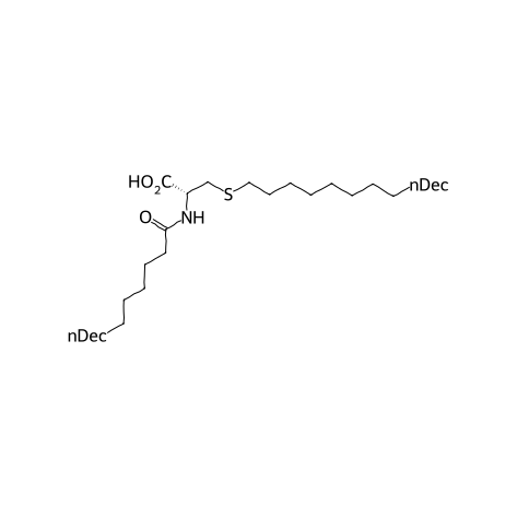 CCCCCCCCCCCCCCCCCCSC[C@H](NC(=O)CCCCCCCCCCCCCCC)C(=O)O